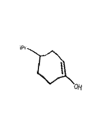 CC(C)C1CC=C(O)CC1